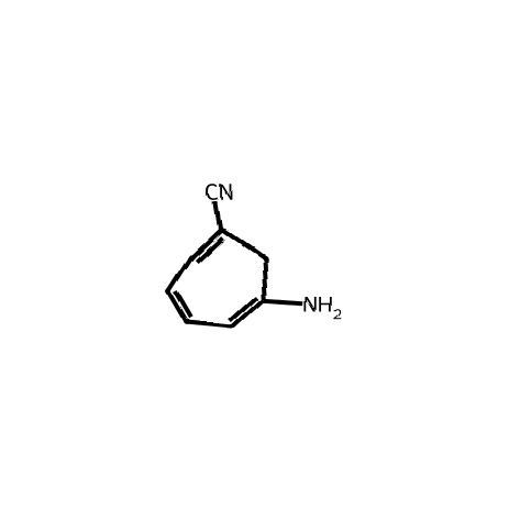 N#CC1=CC=CC=C(N)C1